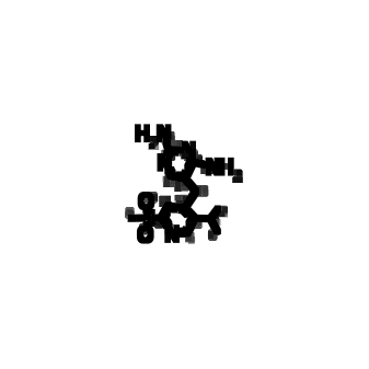 CC(C)c1cnc(S(C)(=O)=O)cc1Cc1cnc(N)nc1N